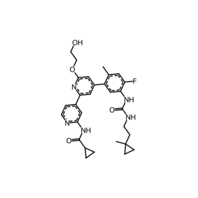 Cc1cc(F)c(NC(=O)NCCC2(C)CC2)cc1-c1cc(OCCO)nc(-c2ccnc(NC(=O)C3CC3)c2)c1